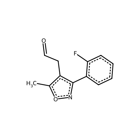 Cc1onc(-c2ccccc2F)c1CC=O